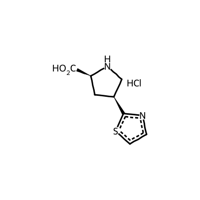 Cl.O=C(O)[C@@H]1C[C@H](c2nccs2)CN1